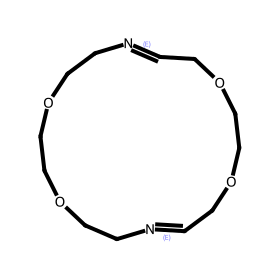 C1=N/CCOCCOCC/N=C/COCCOC/1